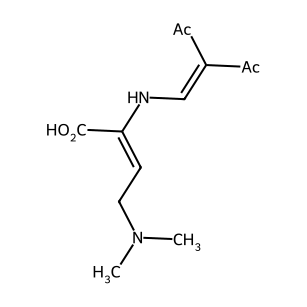 CC(=O)C(=CNC(=CCN(C)C)C(=O)O)C(C)=O